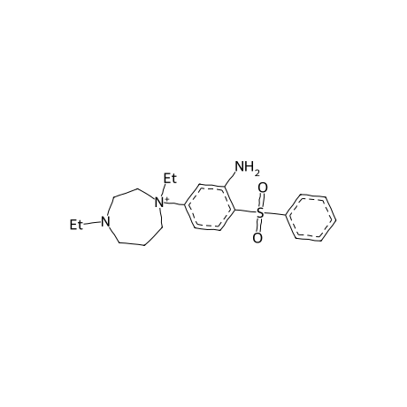 CCN1CCC[N+](CC)(c2ccc(S(=O)(=O)c3ccccc3)c(N)c2)CC1